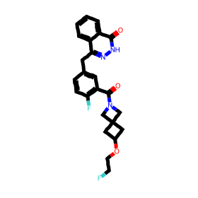 O=C(c1cc(Cc2n[nH]c(=O)c3ccccc23)ccc1F)N1CC2(CC(OCCF)C2)C1